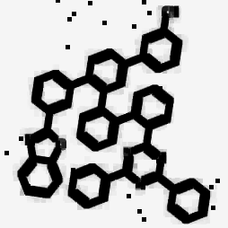 N#Cc1cccc(-c2ccc(-c3cccc(-c4nc5ccccc5o4)c3)c(-c3ccccc3-c3ccccc3-c3nc(-c4ccccc4)nc(-c4ccccc4)n3)c2)c1